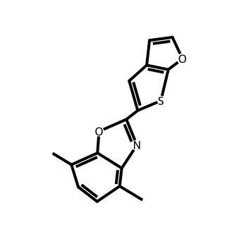 Cc1ccc(C)c2oc(-c3cc4ccoc4s3)nc12